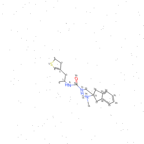 CC(CC1=CSCC1)NC(=O)NCC1(N(C)C)Cc2ccccc2C1